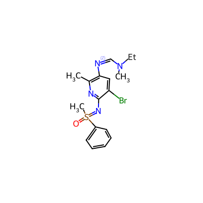 CCN(C)/C=N\c1cc(Br)c(N=S(C)(=O)c2ccccc2)nc1C